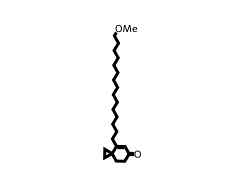 COCCCCCCCCCCCCCCCC1=CC(=O)CCC12CC2